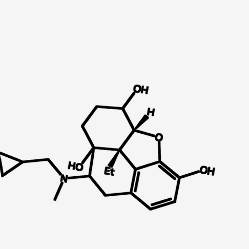 CC[C@]12c3c4ccc(O)c3O[C@H]1C(O)CCC2(O)C(N(C)CC1CC1)C4